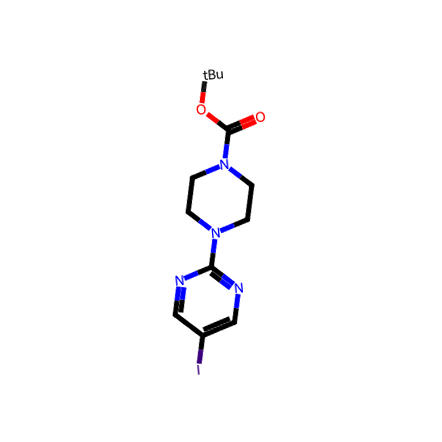 CC(C)(C)OC(=O)N1CCN(c2ncc(I)cn2)CC1